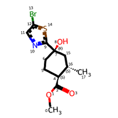 COC(=O)[C@H]1CC[C@](O)(c2ncc(Br)s2)C[C@@H]1C